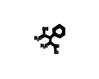 C=C(O)C(c1ccccc1)C(C)NCC